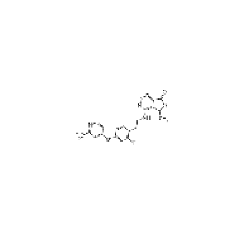 CC1OC(=O)c2ncnc(NCCc3ccc(Oc4ccnc(C(F)(F)F)c4)cc3F)c21